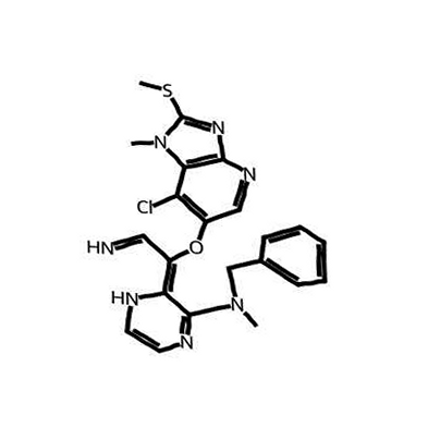 CSc1nc2ncc(O/C(C=N)=C3/NC=CN=C3N(C)Cc3ccccc3)c(Cl)c2n1C